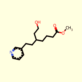 COC(=O)CCCC(CCO)CCc1cccnc1